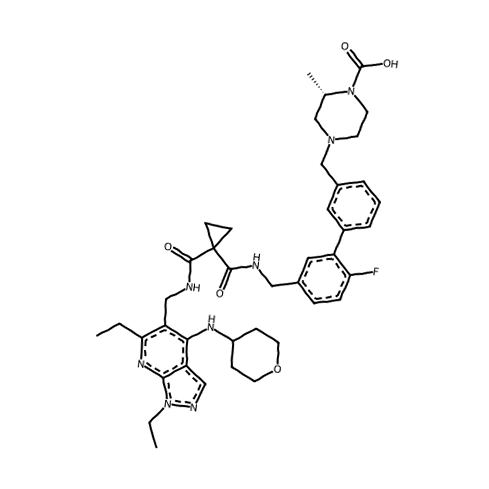 CCc1nc2c(cnn2CC)c(NC2CCOCC2)c1CNC(=O)C1(C(=O)NCc2ccc(F)c(-c3cccc(CN4CCN(C(=O)O)[C@@H](C)C4)c3)c2)CC1